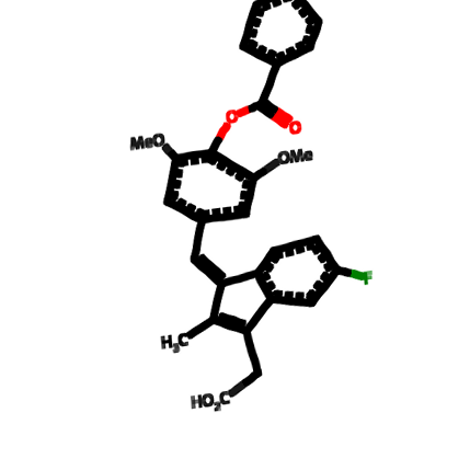 COc1cc(/C=C2/C(C)=C(CC(=O)O)c3cc(F)ccc32)cc(OC)c1OC(=O)c1ccccc1